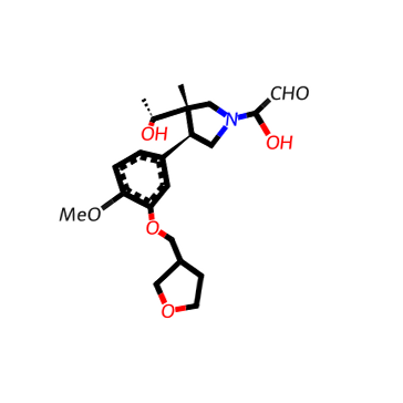 COc1ccc([C@@H]2CN(C(O)C=O)C[C@@]2(C)[C@@H](C)O)cc1OCC1CCOC1